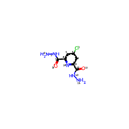 NNC(=O)c1cc(Cl)cc(C(=O)NN)n1